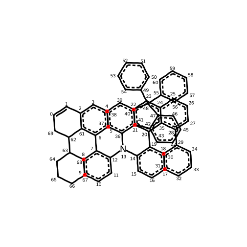 C1=Cc2cccc(-c3ccccc3N(c3ccccc3-c3cccc4cccc(-c5ccccc5)c34)c3cccc4c3-c3ccccc3C4(c3ccccc3)c3ccccc3)c2C(C2CCCCC2)C1